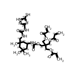 C=CC(=O)OCC(COC(=O)C=C)(COC(=O)C=C)COC(=O)NC1CC(C)(C)CC(C)(CNC(=O)Nc2n[nH]c(S)n2)C1